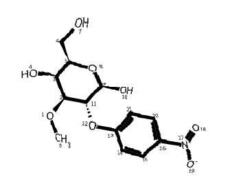 CO[C@H]1[C@@H](O)[C@@H](CO)O[C@@H](O)[C@@H]1Oc1ccc([N+](=O)[O-])cc1